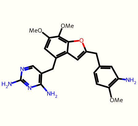 COc1ccc(Cc2cc3c(Cc4cnc(N)nc4N)cc(OC)c(OC)c3o2)cc1N